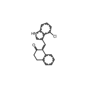 O=C1CCc2ccccc2C1=Cc1c[nH]c2cccc(Cl)c12